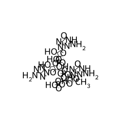 CO[C@]1(n2cnc3c(=O)[nH]c(N)nc32)COC(COP(=O)(O)O)[C@H]1OP(=O)(O)OC[C@H]1OC(n2cnc3c(N)ncnc32)[C@H](O)[C@@H]1OP(=O)(O)OC[C@H]1OC(n2cnc3c(=O)[nH]c(N)nc32)[C@H](O)[C@@H]1O